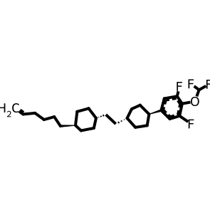 C=CCCCC[C@H]1CC[C@H](CC[C@H]2CC[C@H](c3cc(F)c(OC(F)F)c(F)c3)CC2)CC1